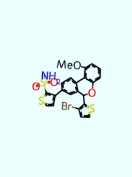 COc1cccc2c1-c1ccc(-c3ccsc3S(N)(=O)=O)cc1C(c1sccc1Br)O2